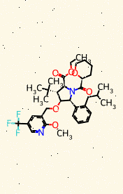 CCOC(=O)[C@@H]1[C@@H](C(C)(C)C)[C@H](OCc2cc(C(F)(F)F)cnc2OC)[C@H](c2ccccc2CC(C)C)N1C(=O)[C@@H]1CCCCO1